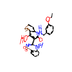 CCOc1cccc(CNn2c(=O)c(C3=NS(=O)(=O)c4ccccc4N3)c(O)c3sccc32)c1